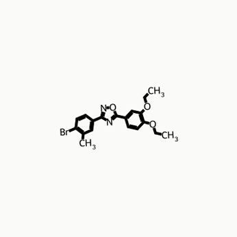 CCOc1ccc(-c2nc(-c3ccc(Br)c(C)c3)no2)cc1OCC